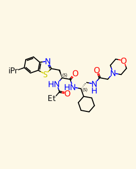 CCC(=O)N[C@@H](Cc1nc2ccc(C(C)C)cc2s1)C(=O)N[C@H](CNC(=O)CN1CCOCC1)C1CCCCC1